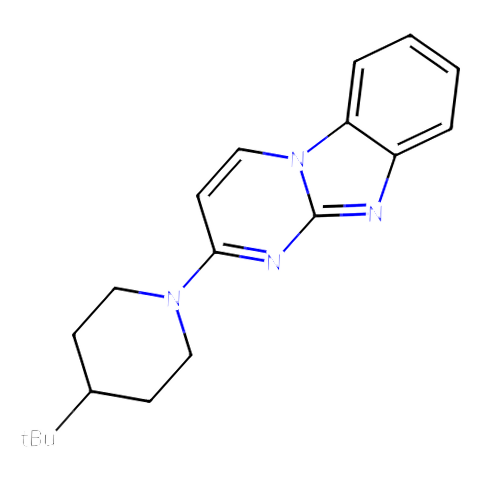 CC(C)(C)C1CCN(c2ccn3c(n2)nc2ccccc23)CC1